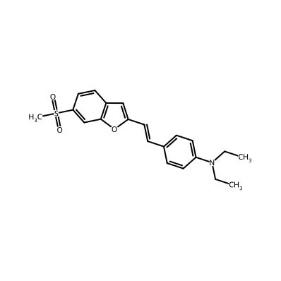 CCN(CC)c1ccc(C=Cc2cc3ccc(S(C)(=O)=O)cc3o2)cc1